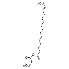 CCCCCCCCC=CCCCCCCCCCCCC(=O)OC(=O)OCCCCCCCC